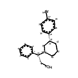 OC[C@H](c1ccccc1)N1CCC[C@@H](c2ccc(Br)cc2)C1